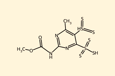 COC(=O)Nc1nc(C)c([SH](=S)=S)c(S(=S)(=S)S)n1